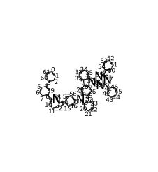 c1ccc(-c2cccc(-c3cccc(-c4ccc(-n5c6ccccc6c6cc7c(cc65)c5ccccc5n7-c5nc(-c6ccccc6)nc(-c6ccccc6)n5)cc4)n3)c2)cc1